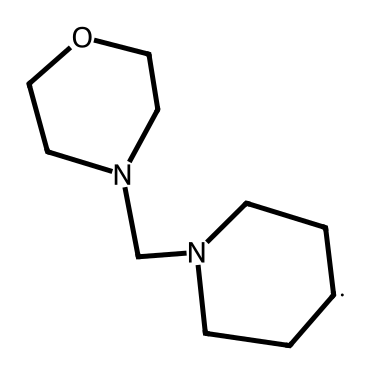 [CH]1CCN(CN2CCOCC2)CC1